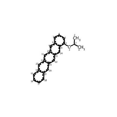 CC(C)Oc1cccc2cc3cc4cc5ccccc5cc4cc3cc12